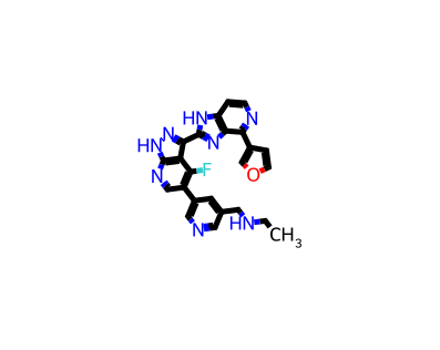 CCNCc1cncc(-c2cnc3[nH]nc(-c4nc5c(-c6ccoc6)nccc5[nH]4)c3c2F)c1